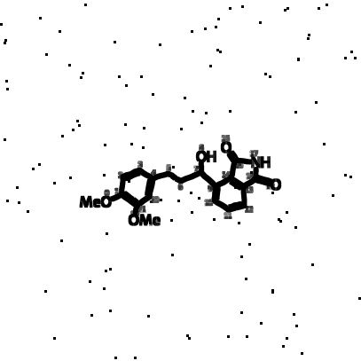 COc1ccc(CCC(O)c2cccc3c2C(=O)NC3=O)cc1OC